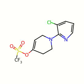 O=S(=O)(OC1=CCN(c2ncccc2Cl)CC1)C(F)(F)F